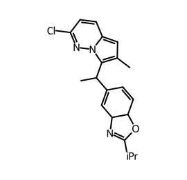 Cc1cc2ccc(Cl)nn2c1C(C)C1=CC2N=C(C(C)C)OC2C=C1